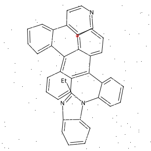 CCc1nc2ccccc2n1-c1ccccc1-c1c2ccccc2c(-c2ccccc2-c2ccncc2)c2ccccc12